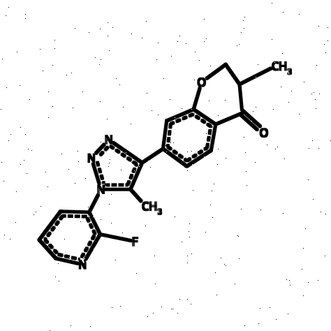 Cc1c(-c2ccc3c(c2)OCC(C)C3=O)nnn1-c1cccnc1F